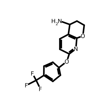 NC1CCOc2nc(Oc3ccc(C(F)(F)F)cc3)ccc21